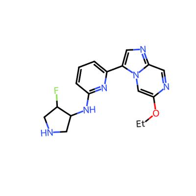 CCOc1cn2c(-c3cccc(NC4CNCC4F)n3)cnc2cn1